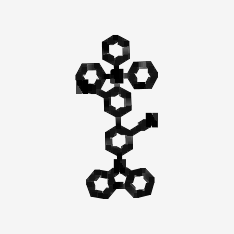 N#Cc1cc(-n2c3ccccc3c3ccccc32)ccc1-c1ccc([Si](c2ccccc2)(c2ccccc2)c2ccccc2)c(C#N)c1